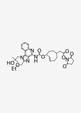 CCOCc1nc2c(NC(=O)OC3/C=C/CCC(CC(=O)ON4C(=O)CCC4=O)CC3)nc3ccccc3c2n1CC(C)(C)O